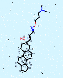 CN(C)CCCO/N=C/C=C/[C@]1(O)CC[C@@]2(C)[C@H](CC[C@H]3[C@@H]4CCC[C@@]4(C)CC[C@@H]32)C1